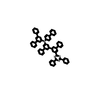 c1ccc(-c2ccc(N(c3cc(-c4ccccc4)cc(-c4ccccc4)c3)c3cc(-c4ccccc4)cc(-c4cc(-c5ccccc5)cc(-c5nc(-c6ccccc6)nc(-c6ccccc6)n5)c4)c3)cc2)cc1